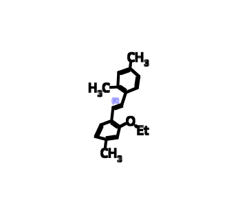 CCOc1cc(C)ccc1/C=C/c1ccc(C)cc1C